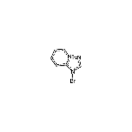 Brn1cn[n+]2ccccc12